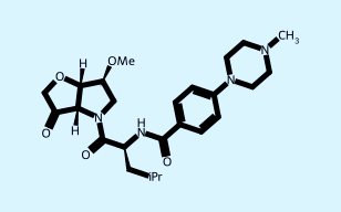 CO[C@H]1CN(C(=O)[C@H](CC(C)C)NC(=O)c2ccc(N3CCN(C)CC3)cc2)[C@@H]2C(=O)CO[C@H]12